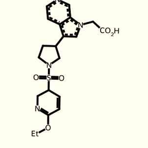 CCOC1=NCC(S(=O)(=O)N2CCC(c3cn(CC(=O)O)c4cnccc34)C2)C=C1